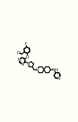 O=Cc1cc(F)ccc1Oc1cncnc1N1CCC(CN2CCC3(CCC(Nc4ccncc4)CC3)CC2)C1